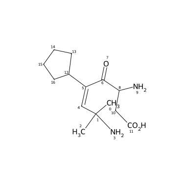 CC(C)(N)C=C(C(=O)C(N)CC(=O)O)C1CCCC1